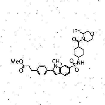 COC(=O)CCc1ccc(-c2cc3ccc(S(=O)(=O)N[C@H]4CC[C@H](C(=O)N5CCOCC5C(C)C)CC4)cc3n2C)cc1